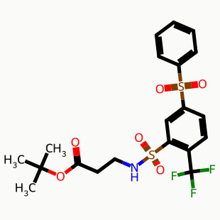 CC(C)(C)OC(=O)CCNS(=O)(=O)c1cc(S(=O)(=O)c2ccccc2)ccc1C(F)(F)F